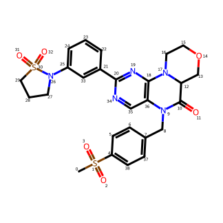 CS(=O)(=O)c1ccc(CN2C(=O)C3COCCN3c3nc(-c4cccc(N5CCCS5(=O)=O)c4)ncc32)cc1